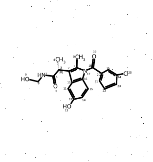 Cc1c([C@@H](C)C(=O)NCO)c2cc(O)ccc2n1C(=O)c1cccc(Cl)c1